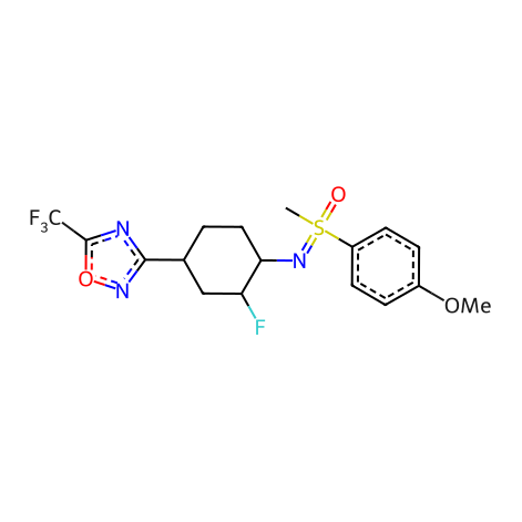 COc1ccc(S(C)(=O)=NC2CCC(c3noc(C(F)(F)F)n3)CC2F)cc1